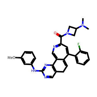 COc1cccc(Nc2ncc3c(n2)C2=CN=C(C(=O)N4CC(N(C)C)C4)C=C(c4ccccc4F)C2=CC3)c1